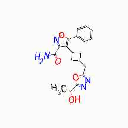 C[C@@H](O)c1nnc(CC2CC(c3c(C(N)=O)noc3-c3ccccc3)C2)o1